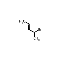 CC=CC(C)Br